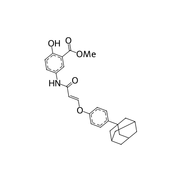 COC(=O)c1cc(NC(=O)C=COc2ccc(C34CC5CC(CC(C5)C3)C4)cc2)ccc1O